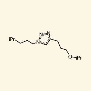 CC(C)CCCn1cc(CCCOC(C)C)nn1